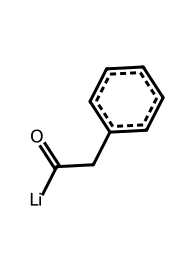 [Li][C](=O)Cc1ccccc1